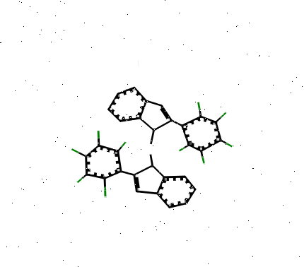 Fc1c(F)c(F)c(C2=Cc3ccccc3[CH]2[Ti+2][CH]2C(c3c(F)c(F)c(F)c(F)c3F)=Cc3ccccc32)c(F)c1F.[Cl-].[Cl-]